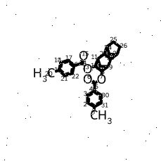 Cc1ccc(C(=O)OC2C3CC(C2OC(=O)c2ccc(C)cc2)C2C4CCC(C4)C32)cc1